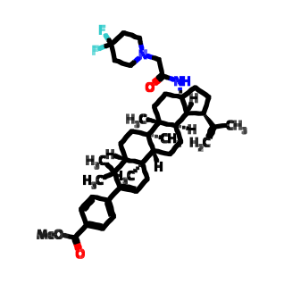 C=C(C)[C@@H]1CC[C@]2(NC(=O)CN3CCC(F)(F)CC3)CC[C@]3(C)[C@H](CC[C@@H]4[C@@]5(C)CC=C(c6ccc(C(=O)OC)cc6)C(C)(C)[C@@H]5CC[C@]43C)[C@@H]12